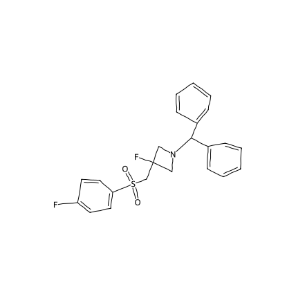 O=S(=O)(CC1(F)CN(C(c2ccccc2)c2ccccc2)C1)c1ccc(F)cc1